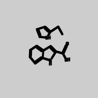 CCc1ccc[nH]1.O=C(O)c1cc2ccccc2[nH]1